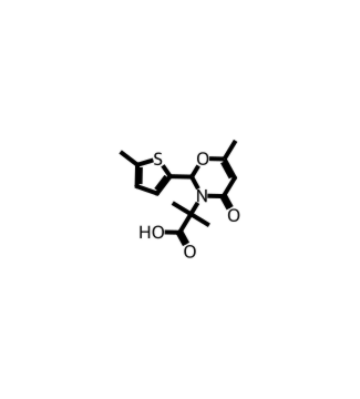 CC1=CC(=O)N(C(C)(C)C(=O)O)C(c2ccc(C)s2)O1